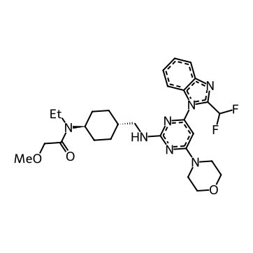 CCN(C(=O)COC)[C@H]1CC[C@H](CNc2nc(N3CCOCC3)cc(-n3c(C(F)F)nc4ccccc43)n2)CC1